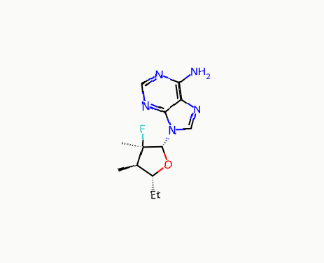 CC[C@H]1O[C@@H](n2cnc3c(N)ncnc32)[C@](C)(F)[C@@H]1C